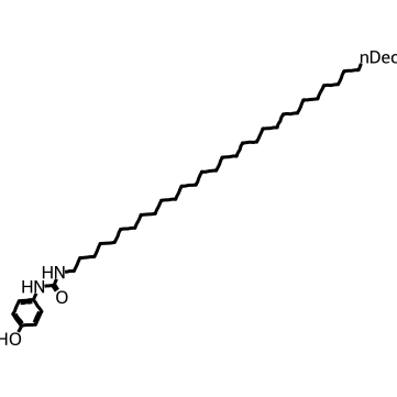 CCCCCCCCCCCCCCCCCCCCCCCCCCCCCCCCCCCCCCCNC(=O)Nc1ccc(O)cc1